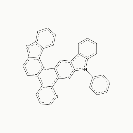 c1ccc(-n2c3ccccc3c3cc4c(cc32)c2ncccc2c2ccc3sc5ccccc5c3c24)cc1